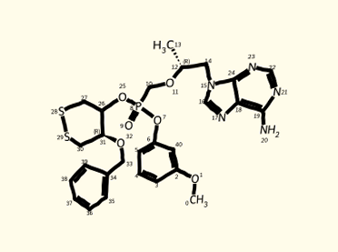 COc1cccc(OP(=O)(CO[C@H](C)Cn2cnc3c(N)ncnc32)OC2CSSC[C@@H]2OCc2ccccc2)c1